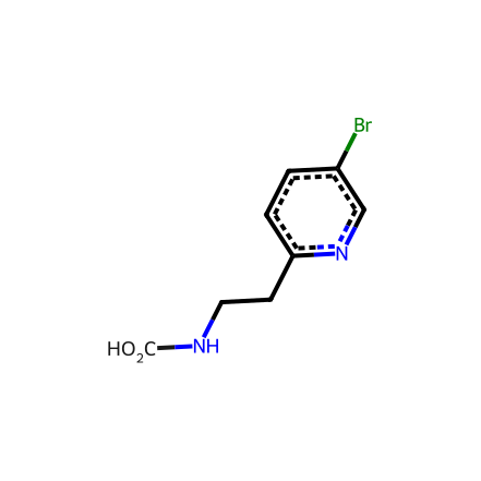 O=C(O)NCCc1ccc(Br)cn1